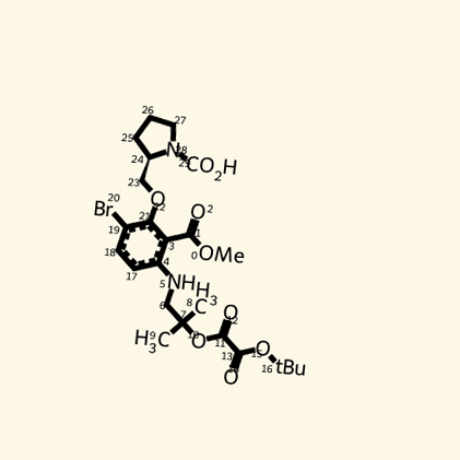 COC(=O)c1c(NCC(C)(C)OC(=O)C(=O)OC(C)(C)C)ccc(Br)c1OC[C@H]1CCCN1C(=O)O